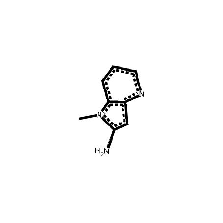 Cn1c(N)cc2ncccc21